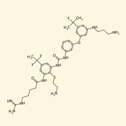 CC(C)(F)c1cc(NCCCN)cc(Oc2cccc(NC(=O)Nc3cc(C(C)(F)F)cc(NC(=O)CCCCNC(=N)N)c3SCCN)c2)c1